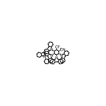 N#Cc1c(-n2c3ccccc3c3ccccc32)c(-n2c3ccccc3c3ccccc32)c(-n2c3ccccc3c3ccccc32)c(-n2c3ccccc3c3cc4c5ccccc5n(-c5ccccc5)c4cc32)c1C(F)(F)F